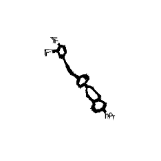 CCCC1CCC2CC(c3ccc(C#Cc4ccc(F)c(F)c4)cc3)CCC2C1